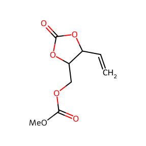 C=CC1OC(=O)OC1COC(=O)OC